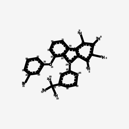 [2H]c1c([2H])c([2H])c2c(c1[2H])c1cccc(Oc3cccc(Br)c3)c1n2-c1cc(C([2H])([2H])[2H])ccn1